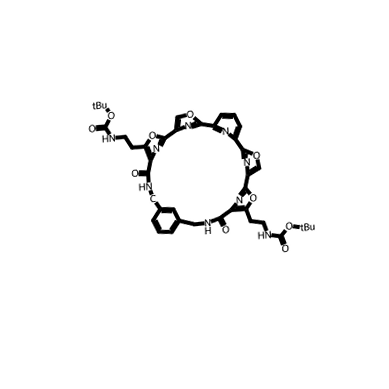 CC(C)(C)OC(=O)NCCc1oc2nc1C(=O)NCc1cccc(c1)CNC(=O)c1nc(oc1CCNC(=O)OC(C)(C)C)-c1coc(n1)-c1cccc(n1)-c1nc-2co1